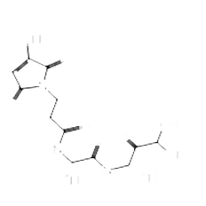 CC1=CC(=O)N(CCC(=O)N[C@@H](C)C(=O)N[C@@H](C)C(=O)C(C)C)C1=O